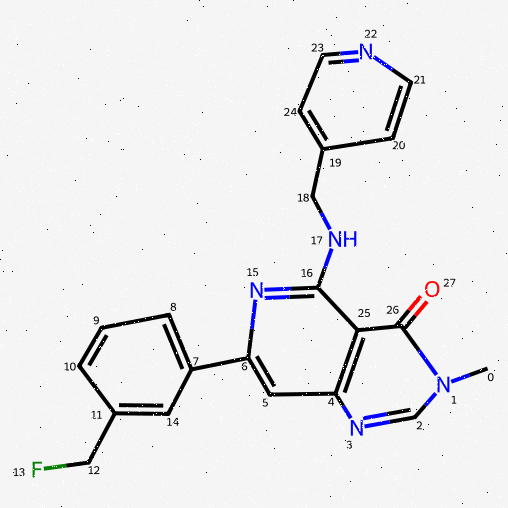 Cn1cnc2cc(-c3cccc(CF)c3)nc(NCc3ccncc3)c2c1=O